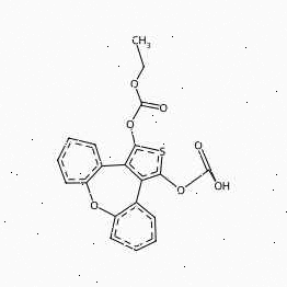 CCOC(=O)Oc1sc(OC(=O)O)c2c1-c1ccccc1Oc1ccccc1-2